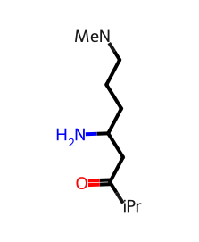 CNCCCC(N)CC(=O)C(C)C